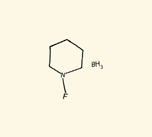 B.FN1CCCCC1